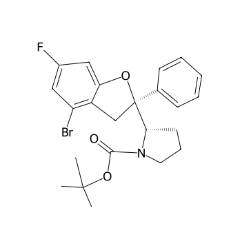 CC(C)(C)OC(=O)N1CCC[C@H]1[C@@]1(c2ccccc2)Cc2c(Br)cc(F)cc2O1